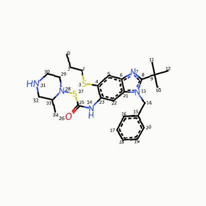 CCCSc1cc2nc(C(C)(C)C)n(Cc3ccccc3)c2cc1NC(=O)SN1CCNCC1C